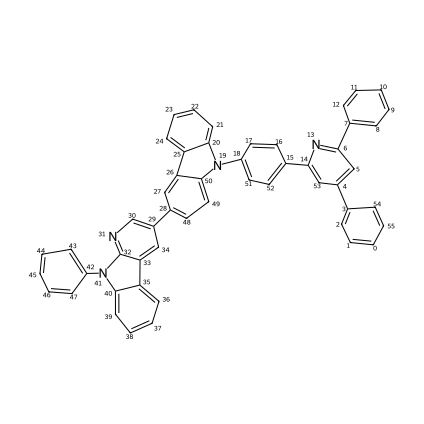 c1ccc(-c2cc(-c3ccccc3)nc(-c3ccc(-n4c5ccccc5c5cc(-c6cnc7c(c6)c6ccccc6n7-c6ccccc6)ccc54)cc3)c2)cc1